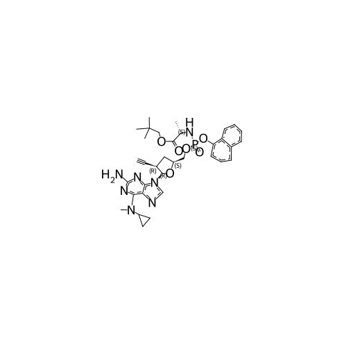 C#C[C@H]1C[C@@H](CO[P@@](=O)(N[C@@H](C)C(=O)OCC(C)(C)C)Oc2cccc3ccccc23)O[C@H]1n1cnc2c(N(C)C3CC3)nc(N)nc21